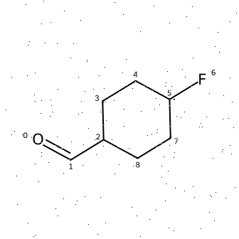 O=CC1CC[C](F)CC1